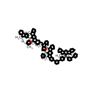 Cc1ccc(N(c2ccc3c(c2)C(C)(C)c2ccccc2-3)c2c3c(cc4c2C(C)(C)c2ccc(CC5(C)c6ccccc6-c6cc(N(c7ccccc7)c7c8c(cc9c7C(C)(C)c7ccc(-c%10cccc(-c%11ccc(N(c%12cccc(-c%13ccccc%13)c%12)c%12c%13c(cc%14c%12C(C)(C)c%12ccccc%12-%14)-c%12ccccc%12C%13(C)C)cc%11)c%10)cc7-9)-c7ccccc7C8(C)C)ccc65)cc2-4)-c2ccccc2C3(C)C)cc1